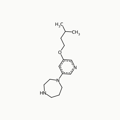 CC(C)CCOc1cncc(N2CCCNCC2)c1